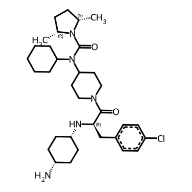 C[C@@H]1CC[C@H](C)N1C(=O)N(C1CCCCC1)C1CCN(C(=O)[C@@H](Cc2ccc(Cl)cc2)N[C@H]2CC[C@@H](N)CC2)CC1